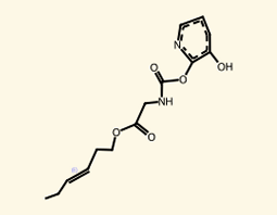 CC/C=C/CCOC(=O)CNC(=O)Oc1ncccc1O